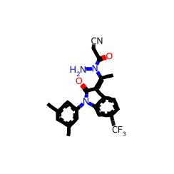 C/C(=C1/C(=O)N(c2cc(C)cc(C)c2)c2cc(C(F)(F)F)ccc21)N(N)C(=O)CC#N